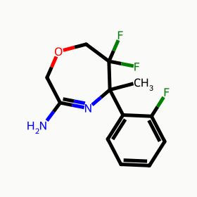 CC1(c2ccccc2F)N=C(N)COCC1(F)F